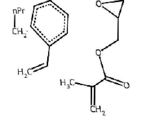 C=C(C)C(=O)OCC1CO1.C=Cc1ccccc1.[CH2]CCC